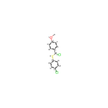 COc1ccc(C(Cl)Sc2ccc(Cl)cc2)cc1